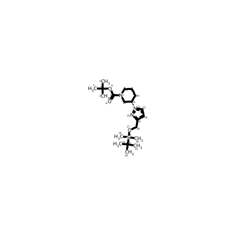 CC(C)(C)OC(=O)N1CCC[C@H](n2ccc(CO[Si](C)(C)C(C)(C)C)n2)C1